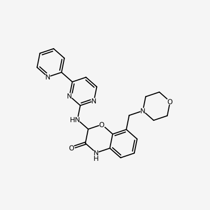 O=C1Nc2cccc(CN3CCOCC3)c2OC1Nc1nccc(-c2ccccn2)n1